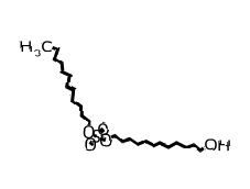 CCCCCCCCCCCCOS(=O)(=O)OCCCCCCCCCCCCO